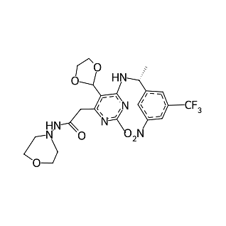 Cc1nc(CC(=O)NN2CCOCC2)c(C2OCCO2)c(N[C@H](C)c2cc([N+](=O)[O-])cc(C(F)(F)F)c2)n1